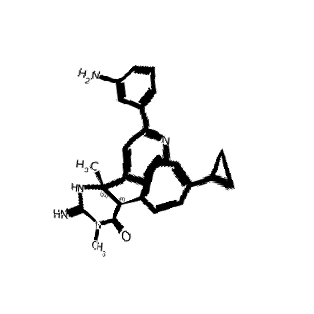 CN1C(=N)N[C@](C)(c2ccnc(-c3cccc(N)c3)c2)[C@@H](c2ccc(C3CC3)cc2)C1=O